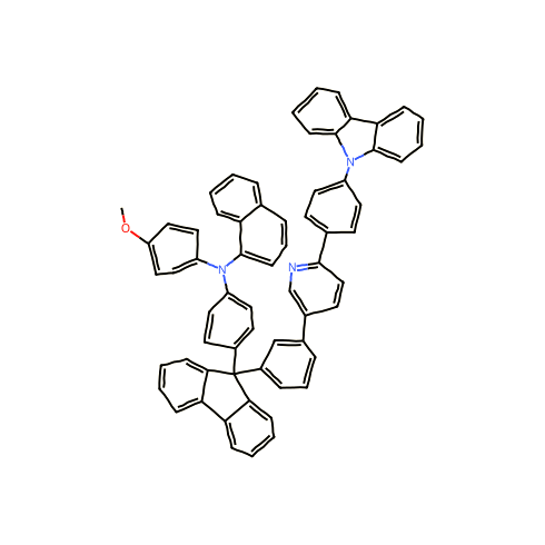 COc1ccc(N(c2ccc(C3(c4cccc(-c5ccc(-c6ccc(-n7c8ccccc8c8ccccc87)cc6)nc5)c4)c4ccccc4-c4ccccc43)cc2)c2cccc3ccccc23)cc1